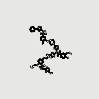 CC(C)c1nsc(N(c2nc(N3CCOCC3)ns2)S(=O)(=O)c2ccc(Cl)c([N+](=O)[O-])c2)n1.CC(C)c1nsc(NS(=O)(=O)c2cc(OCC(F)(F)F)ccc2OCC(F)(F)F)n1.O=S(=O)(Nc1nc(-c2ccccc2)ns1)c1ccc(F)c(Cl)c1